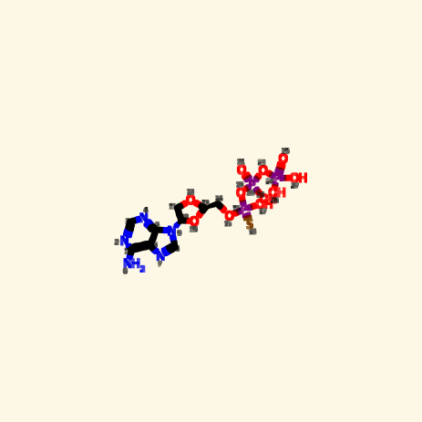 Nc1ncnc2c1ncn2[C@H]1CO[C@@H](COP(O)(=S)OP(=O)(O)OP(=O)(O)O)O1